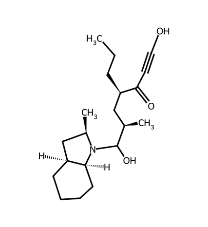 CCC[C@H](C[C@@H](C)C(O)N1[C@H](C)C[C@@H]2CCCC[C@@H]21)C(=O)C#CO